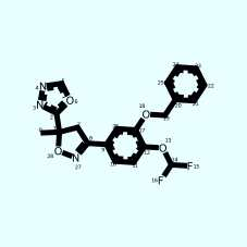 CC1(c2nnco2)CC(c2ccc(OC(F)F)c(OCc3ccccc3)c2)=NO1